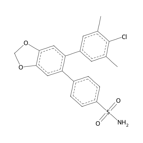 Cc1cc(-c2cc3c(cc2-c2ccc(S(N)(=O)=O)cc2)OCO3)cc(C)c1Cl